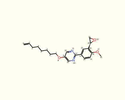 C=CCCCCCCOc1cnc(-c2ccc(OC)c([C@H]3CO3)c2)nc1